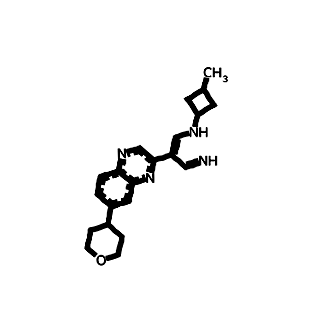 CC1CC(N/C=C(\C=N)c2cnc3ccc(C4CCOCC4)cc3n2)C1